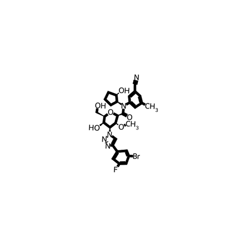 CO[C@@H]1[C@@H](n2cc(-c3cc(F)cc(Br)c3)nn2)[C@@H](O)[C@@H](CO)O[C@H]1C(=O)N(c1cc(C)cc(C#N)c1)[C@H]1CCC[C@@H]1O